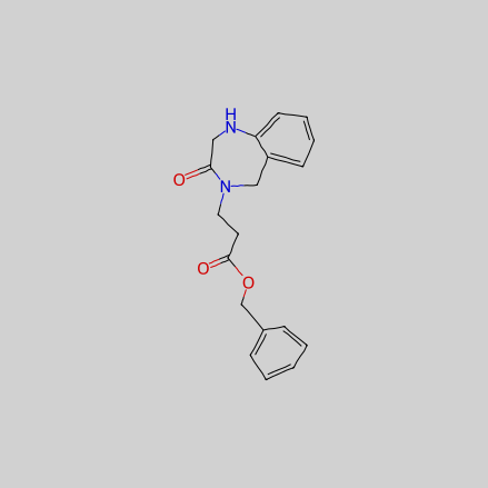 O=C(CCN1Cc2ccccc2NCC1=O)OCc1ccccc1